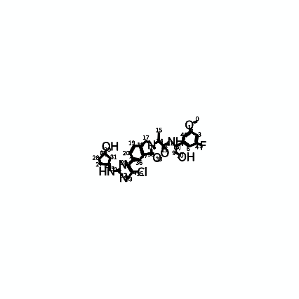 COc1cc(F)cc([C@@H](CO)NC(=O)C(C)N2Cc3ccc(-c4nc(N[C@H]5CC[C@H](O)C5)ncc4Cl)cc3C2=O)c1